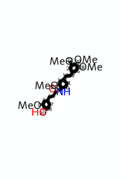 COc1cc(/C=C/C(=O)Nc2ccc(C=Cc3cc(OC)c(OC)c(OC)c3)cc2OC)ccc1O